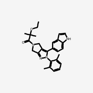 CCOC(C)(C)C(=O)N1Cc2nn(-c3c(C)cccc3C)c(-c3ccc4[nH]ccc4c3)c2C1